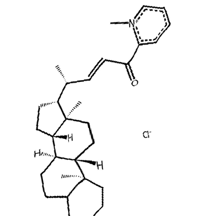 C[C@H](C=CC(=O)c1cccc[n+]1C)[C@H]1CC[C@H]2[C@@H]3CCC4CCCC[C@]4(C)[C@H]3CC[C@]12C.[Cl-]